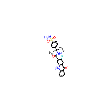 CC(C)(NC(=O)c1cc2[nH]c3ccccc3c(=O)c2cc1F)c1ccc(S(N)(=O)=O)cc1